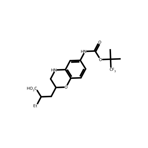 CCC(CC1CNc2cc(NC(=O)OC(C)(C)C(F)(F)F)ccc2O1)C(=O)O